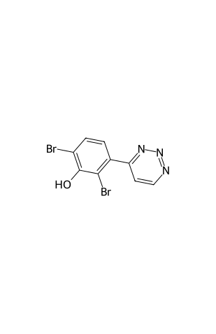 Oc1c(Br)ccc(-c2ccnnn2)c1Br